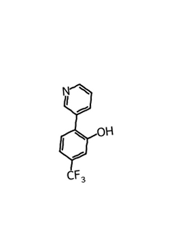 Oc1cc(C(F)(F)F)ccc1-c1cccnc1